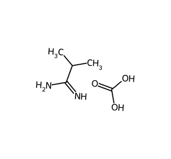 CC(C)C(=N)N.O=C(O)O